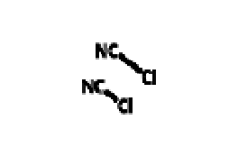 N#CCl.N#CCl